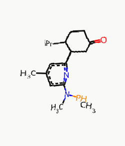 CPN(C)c1cc(C)cc(C2CC(=O)CCC2C(C)C)n1